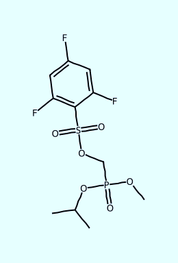 COP(=O)(COS(=O)(=O)c1c(F)cc(F)cc1F)OC(C)C